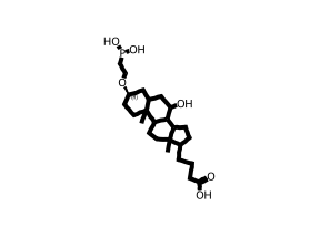 CC12CCC3C(C(O)CC4C[C@H](OCCP(O)O)CCC43C)C1CCC2CCCC(=O)O